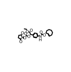 CCOC(=O)C(OC(=O)ON1C(=O)CCC1=O)c1ccc(NC(=O)OC2/C=C/CCCCC2)cc1